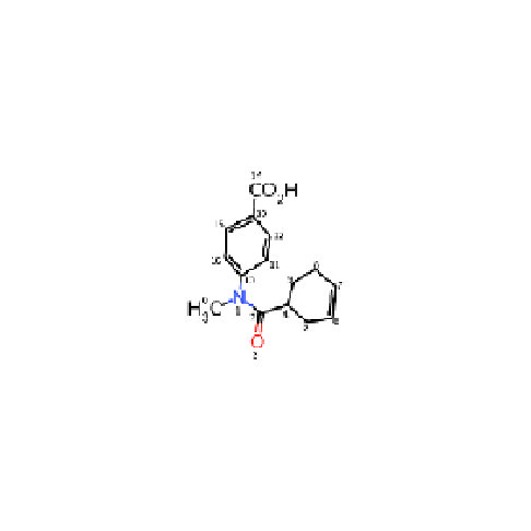 CN(C(=O)C1CC=CCC1)c1ccc(C(=O)O)cc1